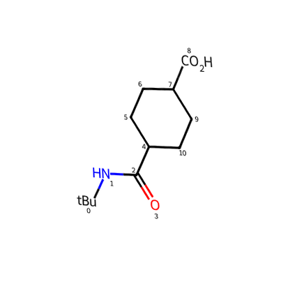 CC(C)(C)NC(=O)C1CCC(C(=O)O)CC1